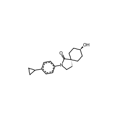 O=C1N(c2ccc(C3CC3)cc2)CC[C@]12CC[C@H](O)CC2